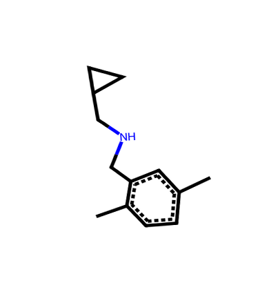 Cc1ccc(C)c(CNCC2CC2)c1